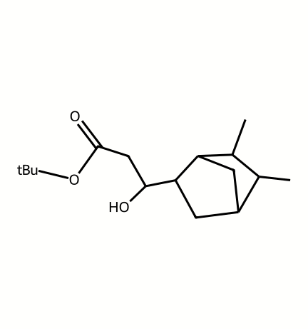 CC1C2CC(C(O)CC(=O)OC(C)(C)C)C(C2)C1C